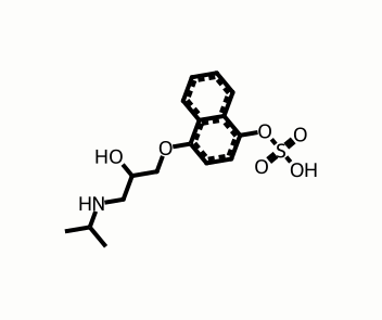 CC(C)NCC(O)COc1ccc(OS(=O)(=O)O)c2ccccc12